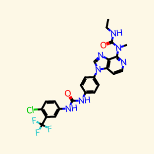 CCNC(=O)N(C)c1nccc2c1ncn2-c1ccc(NC(=O)Nc2ccc(Cl)c(C(F)(F)F)c2)cc1